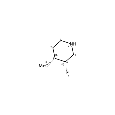 CO[C@@H]1CCNC[C@@H]1F